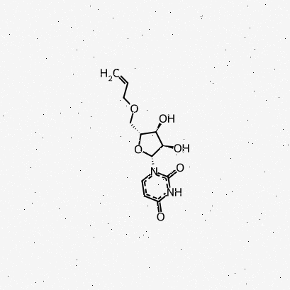 C=CCOC[C@H]1O[C@@H](n2ccc(=O)[nH]c2=O)[C@H](O)[C@@H]1O